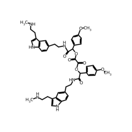 CNCCc1c[nH]c2ccc(CCNC(=O)C(OC(=O)C(=O)OC(C(=O)NCCc3ccc4[nH]cc(CCNC)c4c3)c3ccc(OC)cc3)c3ccc(OC)cc3)cc12